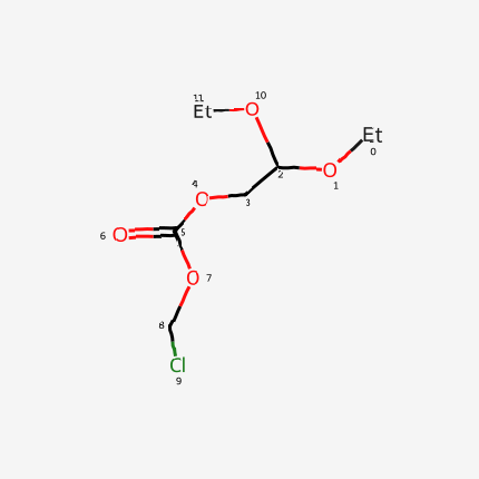 CCOC(COC(=O)OCCl)OCC